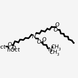 CCCCCCCCC(CCCCCCCC)OC(=O)CCCCCCCN(CCCCCCCC(=O)OCCCCCCCCF)CCOC(=O)CCCN(C)C